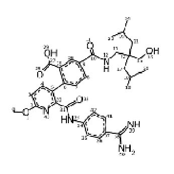 COc1ccc(-c2ccc(C(=O)NCC(CO)(CC(C)C)CC(C)C)cc2C(=O)O)c(C(=O)Nc2ccc(C(=N)N)cc2)n1